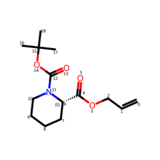 C=CCOC(=O)[C@@H]1CCCCN1C(=O)OC(C)(C)C